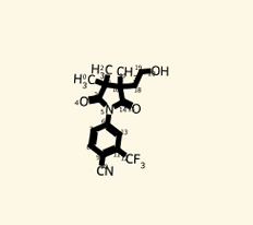 CC1(C)C(=O)N(c2ccc(C#N)c(C(F)(F)F)c2)C(=O)C1(C)CCO